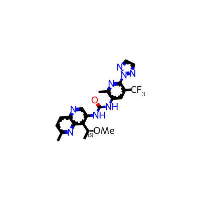 CO[C@@H](C)c1c(NC(=O)Nc2cc(C(F)(F)F)c(-n3nccn3)nc2C)cnc2ccc(C)nc12